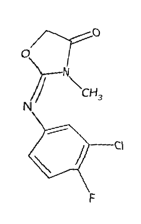 CN1C(=O)COC1=Nc1ccc(F)c(Cl)c1